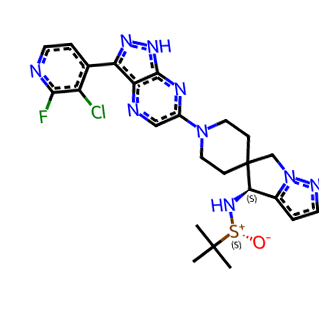 CC(C)(C)[S@@+]([O-])N[C@@H]1c2ccnn2CC12CCN(c1cnc3c(-c4ccnc(F)c4Cl)n[nH]c3n1)CC2